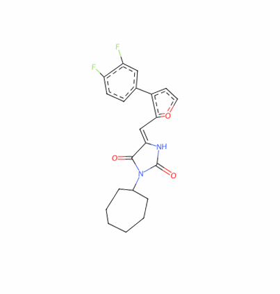 O=C1N/C(=C\c2occc2-c2ccc(F)c(F)c2)C(=O)N1C1CCCCCC1